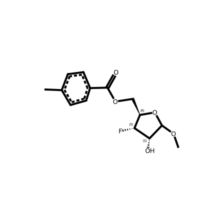 COC1O[C@H](COC(=O)c2ccc(C)cc2)[C@@H](F)[C@H]1O